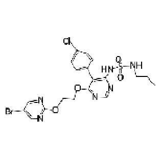 CCCNS(=O)(=O)Nc1ncnc(OCCOc2ncc(Br)cn2)c1-c1ccc(Cl)cc1